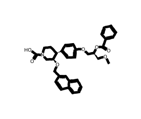 COC[C@@H](COc1ccc([C@H]2CCN(C(=O)O)C[C@@H]2OCc2ccc3ccccc3c2)cc1)OC(=O)c1ccccc1